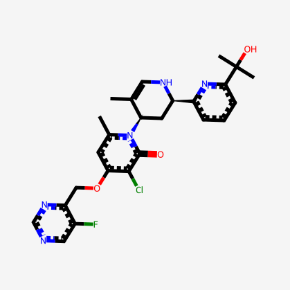 CC1=CN[C@@H](c2cccc(C(C)(C)O)n2)C[C@H]1n1c(C)cc(OCc2ncncc2F)c(Cl)c1=O